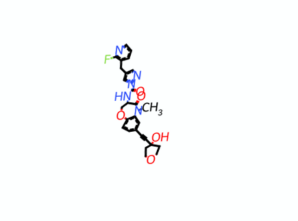 CN1C(=O)[C@H](NC(=O)n2cc(Cc3cccnc3F)cn2)COc2ccc(C#CC3(O)CCOCC3)cc21